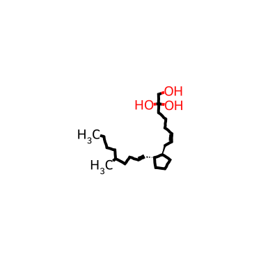 CCCCC(C)CC/C=C/[C@H]1CCC[C@@H]1C/C=C\CCCC(O)(O)CO